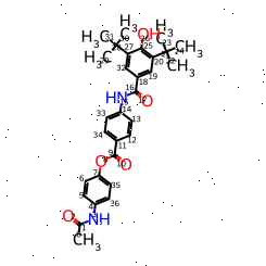 CC(=O)Nc1ccc(OC(=O)c2ccc(NC(=O)c3cc(C(C)(C)C)c(O)c(C(C)(C)C)c3)cc2)cc1